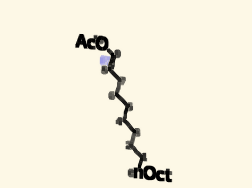 CCCCCCCCCCCCCCC/C=C/OC(C)=O